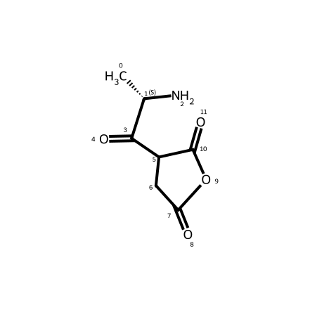 C[C@H](N)C(=O)C1CC(=O)OC1=O